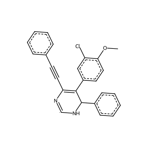 COc1ccc(C2=C(C#Cc3ccccc3)N=[C]NC2c2ccccc2)cc1Cl